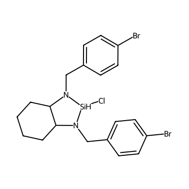 Cl[SiH]1N(Cc2ccc(Br)cc2)C2CCCCC2N1Cc1ccc(Br)cc1